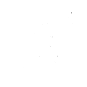 CC(=O)O.CCOC(=O)c1cn[nH]c1-n1nc(C(Nc2ccc(C(=N)N)cc2)c2cc(OC)c3c(c2F)CCCO3)[nH]c1=O